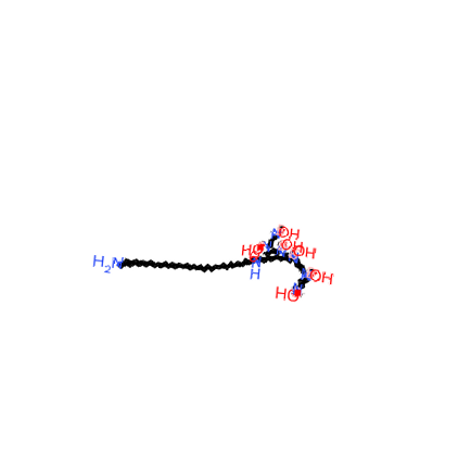 CB(O)N(C)CCCN(CCCCN(CC(CCCCCCNC(=O)CCCCCCCCCCCCCCCCCCCCCCCCCCCCCCCCCCCN)CN(CCCCN(CCCN(C)B(C)O)B(C)O)B(C)O)B(C)O)B(C)O